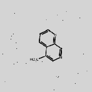 O=C(O)c1cncc2ncccc12